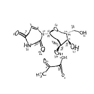 CC(=O)C(=O)O.O=c1ccn([C@@H]2O[C@H](CO)[C@@H](O)[C@H]2O)c(=O)[nH]1